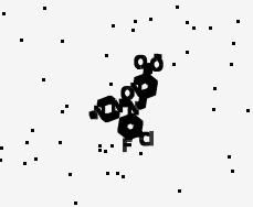 COC(=O)c1ccc(CN(C(=O)N2CCN(C)CC2)c2ccc(F)c(Cl)c2)nc1